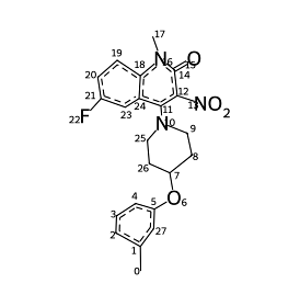 Cc1cccc(OC2CCN(c3c([N+](=O)[O-])c(=O)n(C)c4ccc(F)cc34)CC2)c1